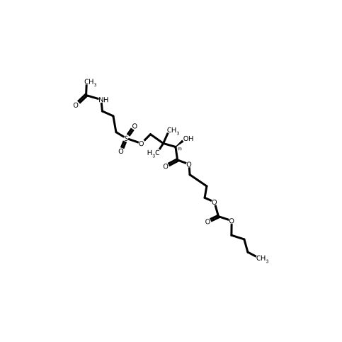 CCCCOC(=O)OCCCOC(=O)[C@H](O)C(C)(C)COS(=O)(=O)CCCNC(C)=O